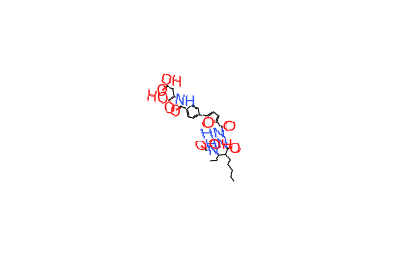 CCCCCC(C(=O)NCNC(=O)c1ccc(-c2ccc(C(=O)NC(CC(=O)O)C(=O)O)cc2)o1)C(CC)N(O)C=O